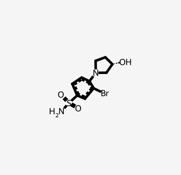 NS(=O)(=O)c1ccc(N2CC[C@H](O)C2)c(Br)c1